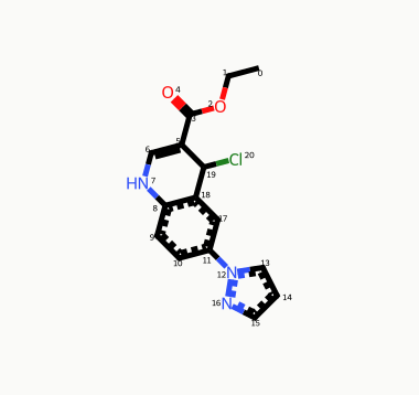 CCOC(=O)C1=CNc2ccc(-n3cccn3)cc2C1Cl